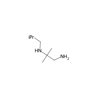 CC(C)CNC(C)(C)CN